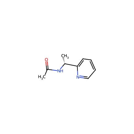 CC(=O)N[C@H](C)c1ccccn1